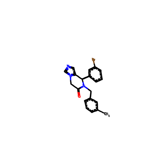 O=C1Cn2cncc2C(c2cccc(Br)c2)N1Cc1cccc(C(F)(F)F)c1